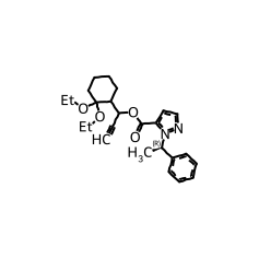 C#CC(OC(=O)c1ccnn1[C@H](C)c1ccccc1)C1CCCCC1(OCC)OCC